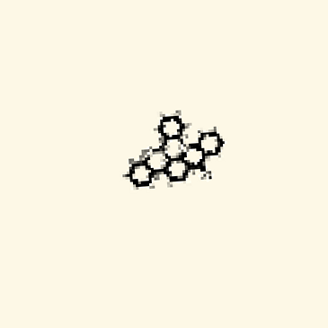 O=c1c2ccccc2n2c3c4c(ccc13)-c1ccccc1SB4c1ccccc1-2